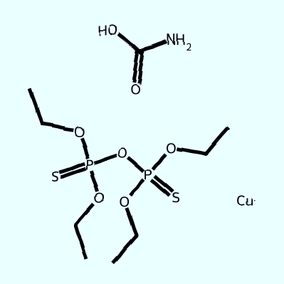 CCOP(=S)(OCC)OP(=S)(OCC)OCC.NC(=O)O.[Cu]